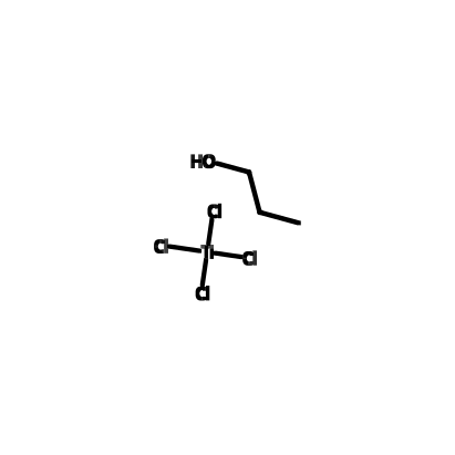 CCCO.[Cl][Ti]([Cl])([Cl])[Cl]